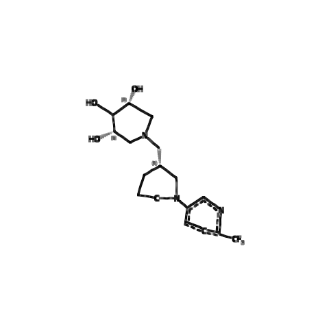 OC1[C@H](O)CN(C[C@H]2CCCN(c3ccc(C(F)(F)F)nc3)C2)C[C@@H]1O